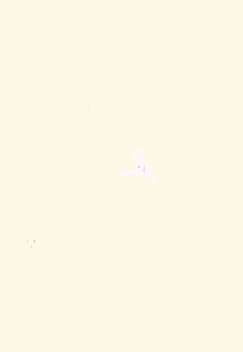 C#CC[n+]1csc2cc(C)c(OC)cc21.[Br-]